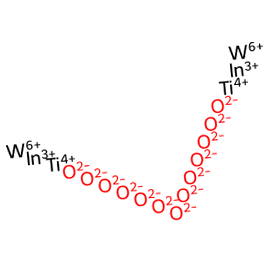 [In+3].[In+3].[O-2].[O-2].[O-2].[O-2].[O-2].[O-2].[O-2].[O-2].[O-2].[O-2].[O-2].[O-2].[O-2].[Ti+4].[Ti+4].[W+6].[W+6]